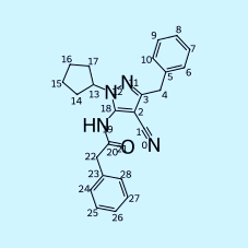 N#Cc1c(Cc2ccccc2)nn(C2CCCC2)c1NC(=O)Cc1ccccc1